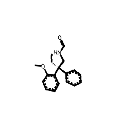 CC[C@](CNC=O)(c1ccccc1)c1ccccc1OC